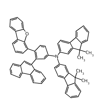 CC1(C)c2ccccc2-c2ccc(N(c3ccc(-c4cccc5c4oc4ccccc45)c(-c4cc5ccccc5c5ccccc45)c3)c3ccc4c(c3)C(C)(C)c3ccccc3-4)cc21